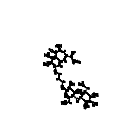 COC(=O)c1cc(O)c(=O)c2c(O)c(O)c(OCCCO[C@@H]3O[C@H](CO)[C@@H](O[C@@H]4O[C@H](CO)[C@H](O)C(O)[C@H]4O)[C@H](O)[C@H]3O)cc2c1